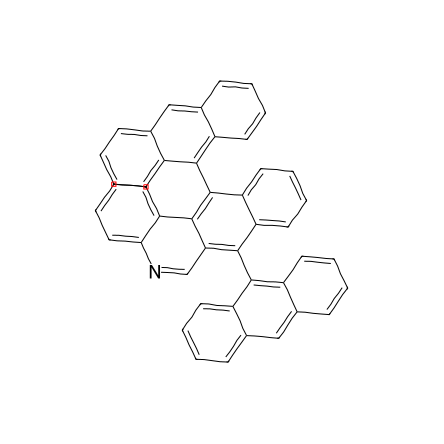 c1ccc2c(-c3c4ccccc4c(-c4c5ccccc5cc5ccccc45)c4c3cnc3ccccc34)c3ccccc3cc2c1